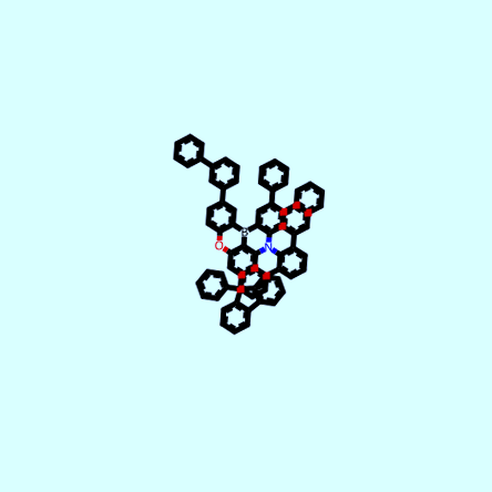 c1ccc(-c2cccc(-c3ccc4c(c3)B3c5cc(-c6ccccc6)c(-c6ccccc6)cc5N(c5c(-c6ccccc6)cccc5-c5ccccc5)c5cc(C6(c7ccccc7)c7ccccc7-c7ccccc76)cc(c53)O4)c2)cc1